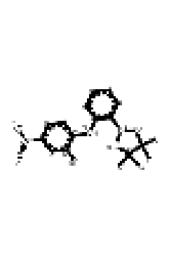 CC1(C)OB(c2ccccc2Nc2ccc([N+](=O)[O-])cc2F)OC1(C)C